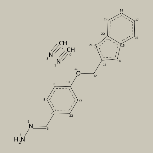 C#N.C#N.NN=Cc1ccc(OCc2cc3ccccc3s2)cc1